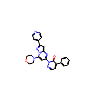 O=c1c(-c2ccccc2)ccnn1-c1cc(N2CCOCC2)n2nc(-c3ccncc3)cc2n1